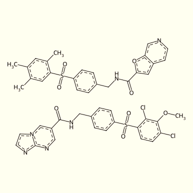 COc1c(Cl)ccc(S(=O)(=O)c2ccc(CNC(=O)c3cnc4nccn4c3)cc2)c1Cl.Cc1cc(C)c(S(=O)(=O)c2ccc(CNC(=O)c3cc4ccncc4o3)cc2)cc1C